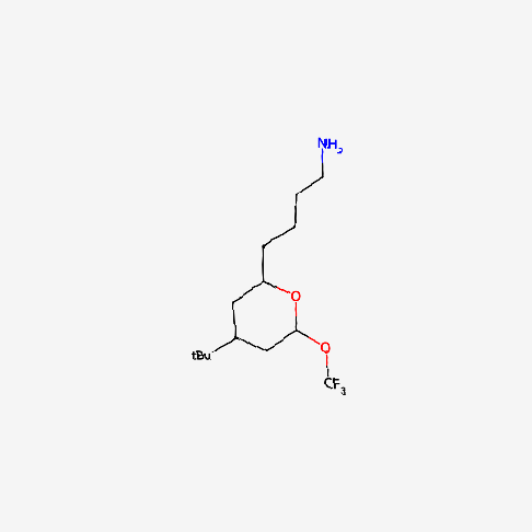 CC(C)(C)C1CC(CCCCN)OC(OC(F)(F)F)C1